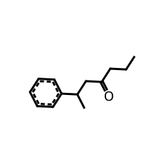 CCCC(=O)CC(C)c1ccccc1